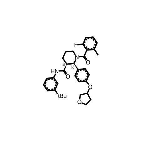 Cc1cccc(F)c1C(=O)N1CCC[C@H](C(=O)Nc2cccc(C(C)(C)C)c2)[C@@H]1c1ccc(OC2CCOC2)cc1